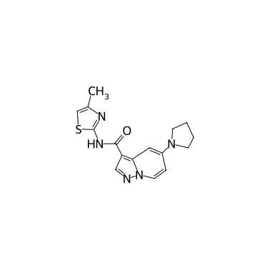 Cc1csc(NC(=O)c2cnn3ccc(N4CCCC4)cc23)n1